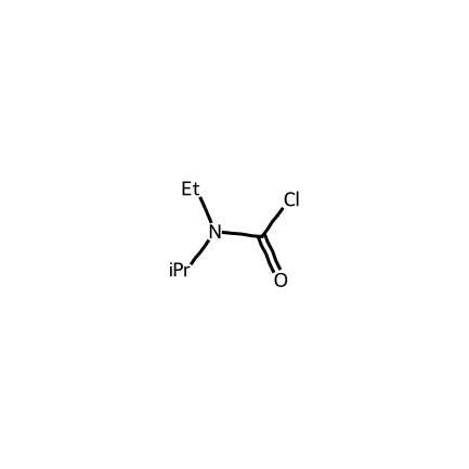 CCN(C(=O)Cl)C(C)C